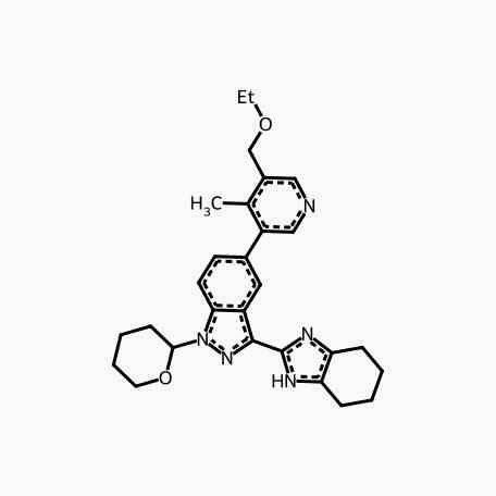 CCOCc1cncc(-c2ccc3c(c2)c(-c2nc4c([nH]2)CCCC4)nn3C2CCCCO2)c1C